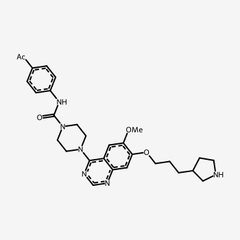 COc1cc2c(N3CCN(C(=O)Nc4ccc(C(C)=O)cc4)CC3)ncnc2cc1OCCCC1CCNC1